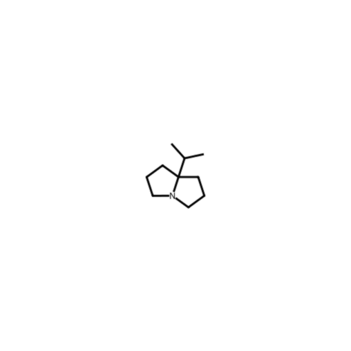 CC(C)C12CCCN1CCC2